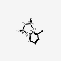 Clc1ccnnn1.O=[PH](O)O[PH](=O)O